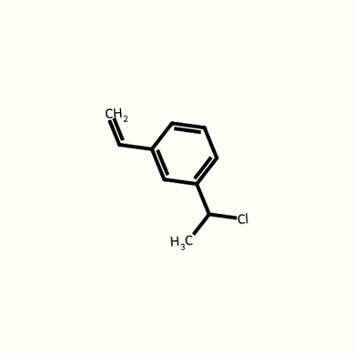 C=Cc1cccc(C(C)Cl)c1